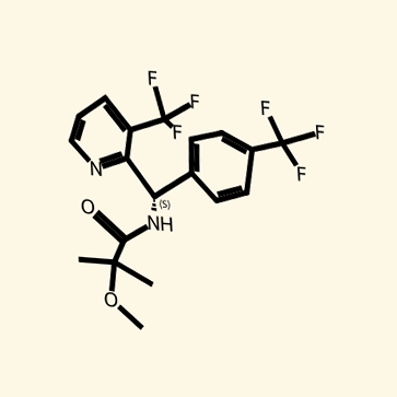 COC(C)(C)C(=O)N[C@@H](c1ccc(C(F)(F)F)cc1)c1ncccc1C(F)(F)F